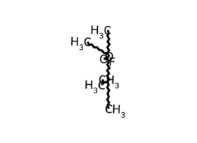 CCCCCCCCCC(CCCCCCC(F)C(=O)OC(CCCCCCCC)CCCCCCCC)C(C)C